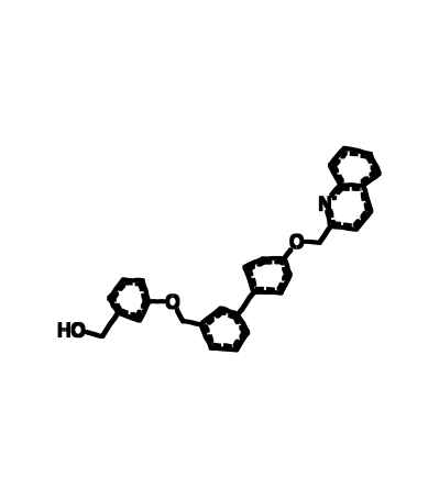 OCc1cccc(OCc2cccc(-c3ccc(OCc4ccc5ccccc5n4)cc3)c2)c1